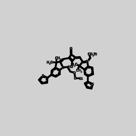 CCOOCCN1C(=CC2=C(O)C(=CC3=[N+](CC(=O)OCC)c4ccc(-c5cccs5)cc4C3(C)C)C2=O)C(C)(C)c2cc(-c3cccs3)ccc21